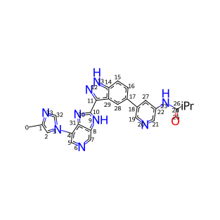 Cc1cn(-c2cncc3[nH]c(-c4n[nH]c5ccc(-c6cncc(NC(=O)C(C)C)c6)cc45)nc23)cn1